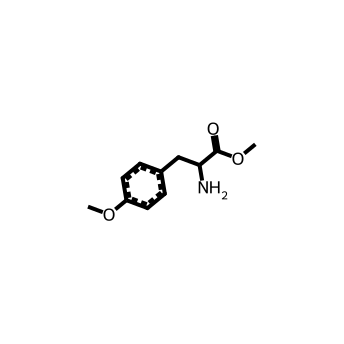 COC(=O)C(N)Cc1ccc(OC)cc1